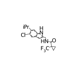 CC(C)c1cc2[nH]c(CNC(=O)C3(C(F)(F)F)CC3)cc2cc1Cl